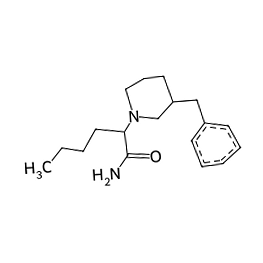 CCCCC(C(N)=O)N1CCCC(Cc2ccccc2)C1